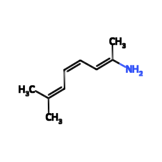 CC(C)=C/C=C\C=C(/C)N